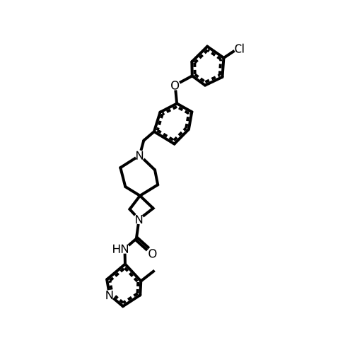 Cc1ccncc1NC(=O)N1CC2(CCN(Cc3cccc(Oc4ccc(Cl)cc4)c3)CC2)C1